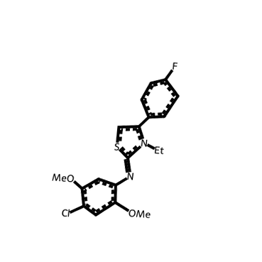 CCn1c(-c2ccc(F)cc2)csc1=Nc1cc(OC)c(Cl)cc1OC